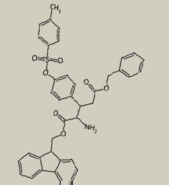 Cc1ccc(S(=O)(=O)Oc2ccc(C(CC(=O)OCc3ccccc3)C(N)C(=O)OCC3c4ccccc4-c4ccccc43)cc2)cc1